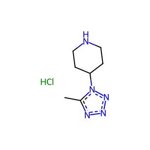 Cc1nnnn1C1CCNCC1.Cl